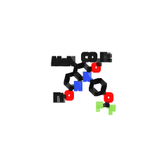 CCOC(=O)c1c(NC)c2ccc(OCC)nc2n(-c2ccc(OC(F)F)cc2)c1=O